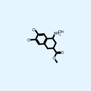 COC(=O)C1Cc2cc(Cl)c(Cl)cc2C(N)C1.Cl